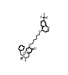 CN(Cc1cc(=O)c(OCCCCCSc2ccnc3cc(C(F)(F)F)ccc23)co1)S(=O)(=O)Cc1ccccc1